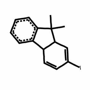 CC1(C)c2ccccc2C2C=CC(I)=CC21